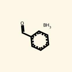 B.O=Cc1ccccc1